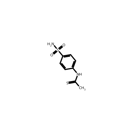 CC(=S)Nc1ccc(S(N)(=O)=O)cc1